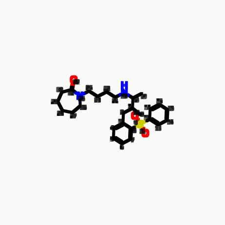 CC(Cc1ccccc1S(=O)(=O)c1ccccc1)C(C)NCCCCN1CCCCCC1=O